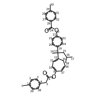 Cc1ccc(CC(=O)OC2=CC=C(C(C)(CC(C)C)c3ccc(OC(=O)c4ccc(C)cc4)cc3)CC=C2)cc1